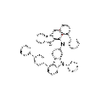 c1ccc(-c2ccc(-c3cccc4c3c3ccc(N(c5ccccc5-c5ccccc5)c5cccc6c5sc5ccccc56)cc3n4-c3ccccc3)cc2)cc1